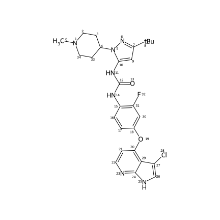 CN1CCC(n2nc(C(C)(C)C)cc2NC(=O)Nc2ccc(Oc3ccnc4[nH]cc(Cl)c34)cc2F)CC1